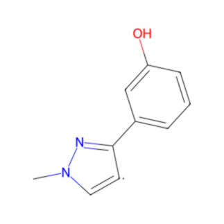 Cn1c[c]c(-c2cccc(O)c2)n1